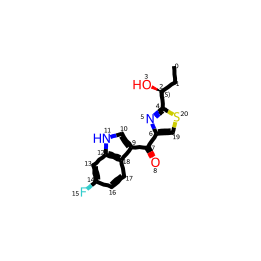 CC[C@H](O)c1nc(C(=O)c2c[nH]c3cc(F)ccc23)cs1